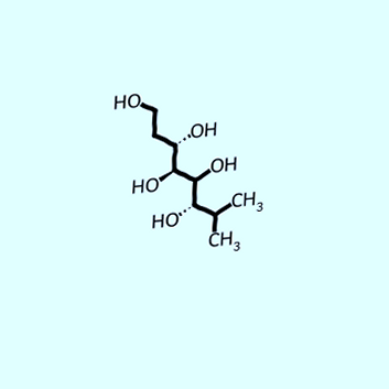 CC(C)[C@H](O)C(O)[C@@H](O)[C@@H](O)CCO